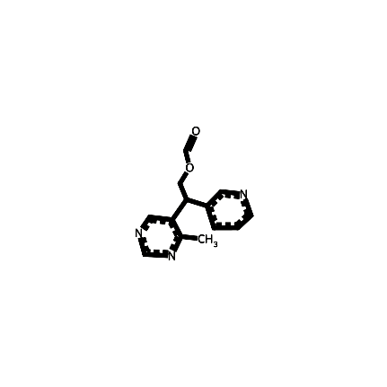 Cc1ncncc1C(COC=O)c1cccnc1